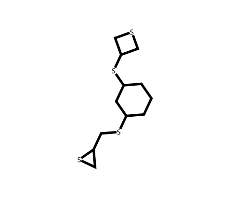 C1CC(SCC2CS2)CC(SC2CSC2)C1